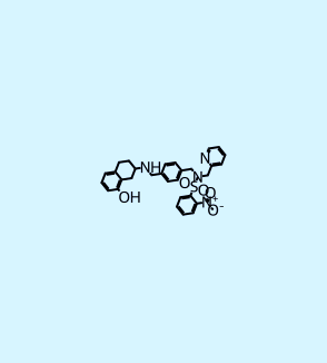 O=[N+]([O-])c1ccccc1S(=O)(=O)N(Cc1ccc(CNC2CCc3cccc(O)c3C2)cc1)Cc1ccccn1